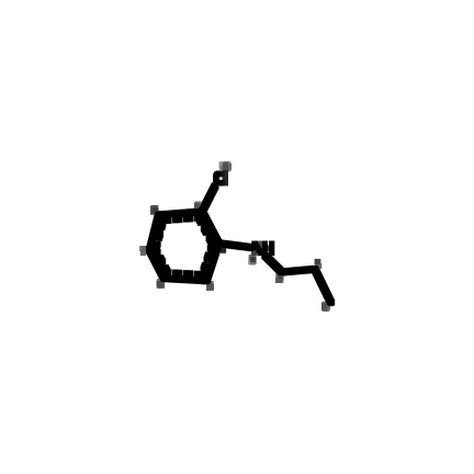 CCCNc1ccccc1Cl